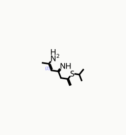 C=C(CC(=N)/C=C(/C)N)SC(C)C